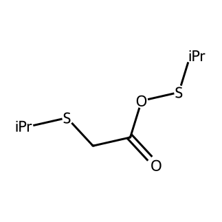 CC(C)SCC(=O)OSC(C)C